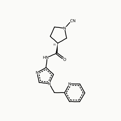 N#CN1CC[C@H](C(=O)Nc2cn(Cc3ccccn3)cn2)C1